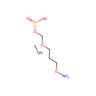 CCCC.NOCCCOCO[PH](=O)O